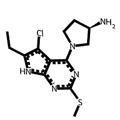 CCc1[nH]c2nc(SC)nc(N3CC[C@@H](N)C3)c2c1Cl